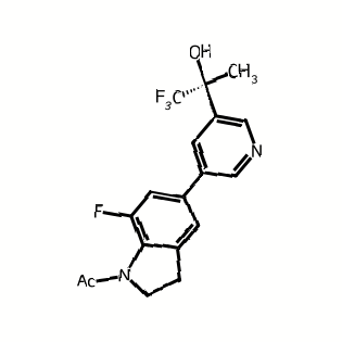 CC(=O)N1CCc2cc(-c3cncc([C@](C)(O)C(F)(F)F)c3)cc(F)c21